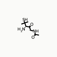 CC(=O)N[CH]C(=O)[C@H](N)C(C)(C)S